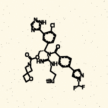 CC(C)(C)CCNC(=N)N(C(=O)c1ccc(-c2cnn(C(F)F)c2)cc1)[C@H](COC(=O)N1CC2(CCO2)C1)c1ccc(Cl)c(-c2ncn[nH]2)c1